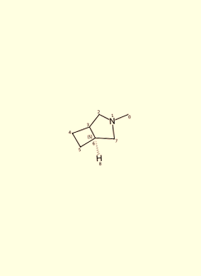 CN1CC2CC[C@@H]2C1